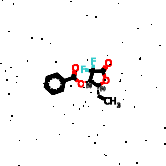 CC[C@H]1OC(=O)C(F)(F)[C@H]1OC(=O)c1ccccc1